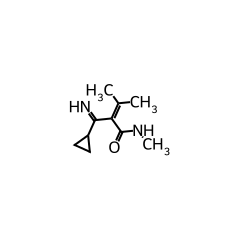 CNC(=O)C(C(=N)C1CC1)=C(C)C